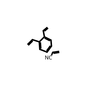 C=CC#N.C=Cc1ccccc1C=C